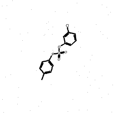 Cc1ccc(SS(=O)(=O)Oc2cccc(Cl)c2)cc1